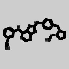 C#Cc1cccc(Nc2ncnc3nc(Nc4ccc(CN5CCC[C@@H]5CO)cc4)sc23)c1